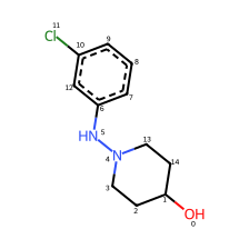 OC1CCN(Nc2cccc(Cl)c2)CC1